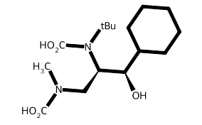 CN(C[C@H]([C@H](O)C1CCCCC1)N(C(=O)O)C(C)(C)C)C(=O)O